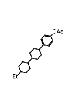 CCC1CCC(C2CCC(c3ccc(OC(C)=O)cc3)CC2)CC1